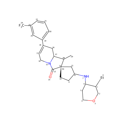 CCC1COCCC1NC1CC[C@@]2(C1)C(=O)N1CC=C(c3cccc(C(F)(F)F)c3)CC1C2C